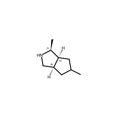 [CH2][C@@H]1NC[C@@H]2CC(C)C[C@@H]21